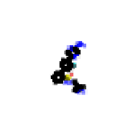 Nc1cnc(-c2ccc(-c3ccccc3[S+]([O-])NCC3CNC3)cc2F)cn1